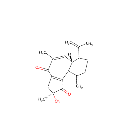 C=C(C)C1CCC(=C)C2C3=C(C[C@](C)(O)C3=O)C(=O)C(C)=C[C@H]12